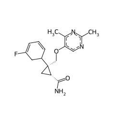 Cc1ncc(OC[C@@]2(C3C=CC=C(F)C3)C[C@H]2C(N)=O)c(C)n1